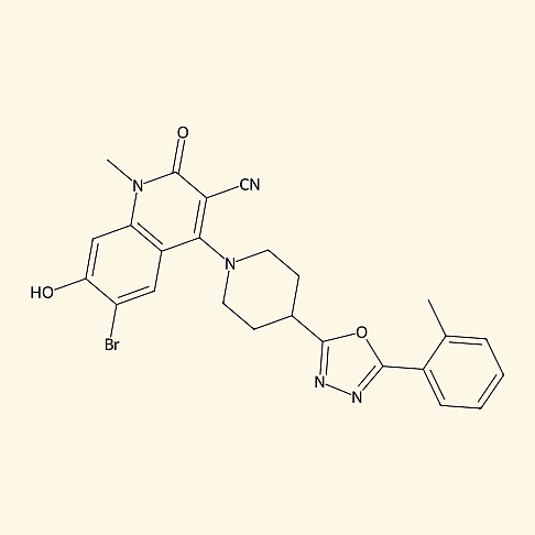 Cc1ccccc1-c1nnc(C2CCN(c3c(C#N)c(=O)n(C)c4cc(O)c(Br)cc34)CC2)o1